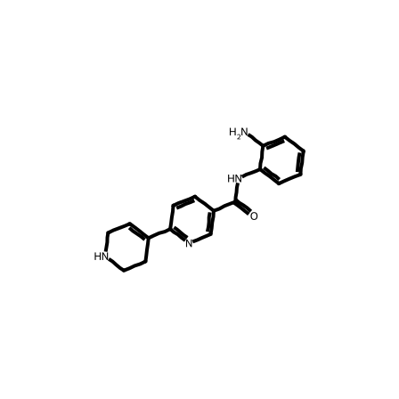 Nc1ccccc1NC(=O)c1ccc(C2=CCNCC2)nc1